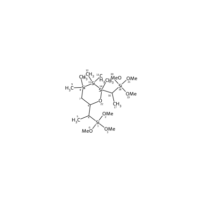 CO[Si](OC)(OC)C(C)C1C[Si](C)(C)[Si](C)(C)[Si](C)(C(C)[Si](OC)(OC)OC)O1